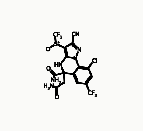 N#Cc1nn2c(c1[S+]([O-])C(F)(F)F)NC(CC(N)=O)(C(N)=O)c1cc(C(F)(F)F)cc(Cl)c1-2